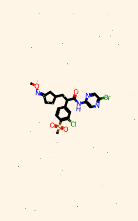 CON=C1CCC(CC(C(=O)Nc2cnc(Br)cn2)c2ccc(S(C)(=O)=O)c(Cl)c2)C1